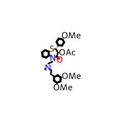 COc1ccc([C@H]2Sc3ccccc3N(CCN(C)CCc3cc(OC)cc(OC)c3)C(=O)[C@H]2OC(C)=O)cc1